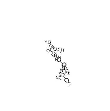 CCc1nc2ccc(-c3cnc(N4CCN(C(=O)C5CC(O)CN5C(=O)O)CC4)nc3)cn2c1N(C)c1nc(-c2ccc(F)cc2)c(C#N)s1